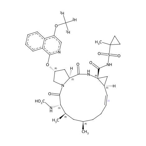 [2H]C([2H])([2H])Oc1cnc(O[C@@H]2C[C@H]3C(=O)N[C@]4(C(=O)NS(=O)(=O)C5(C)CC5)C[C@H]4/C=C\CC[C@@H](C)C[C@@H](C)[C@H](NC(=O)O)C(=O)N3C2)c2ccccc12